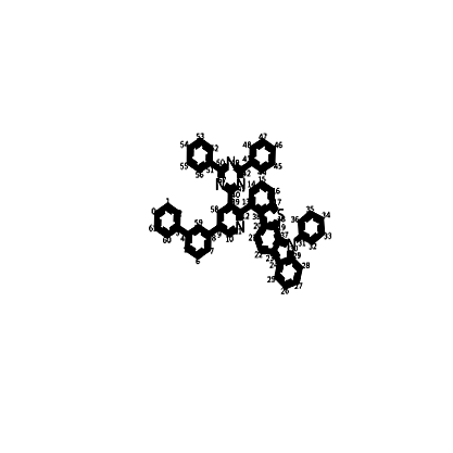 c1ccc(-c2cccc(-c3cnc(-c4cccc5sc6c(ccc7c8ccccc8n(-c8ccccc8)c76)c45)c(-c4nc(-c5ccccc5)nc(-c5ccccc5)n4)c3)c2)cc1